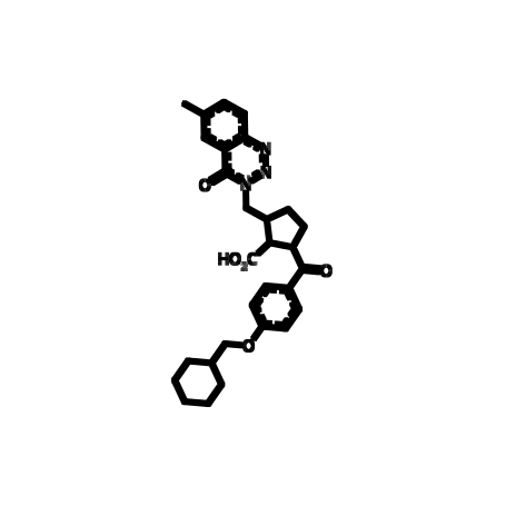 Cc1ccc2nnn(CC3CCC(C(=O)c4ccc(OCC5CCCCC5)cc4)C3C(=O)O)c(=O)c2c1